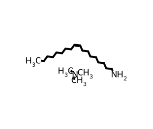 CCCCCCCC/C=C\CCCCCCCCN.CN(C)C